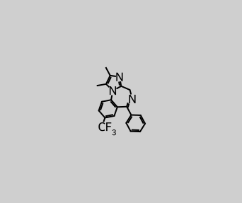 Cc1nc2n(c1C)-c1ccc(C(F)(F)F)cc1C(c1ccccc1)=NC2